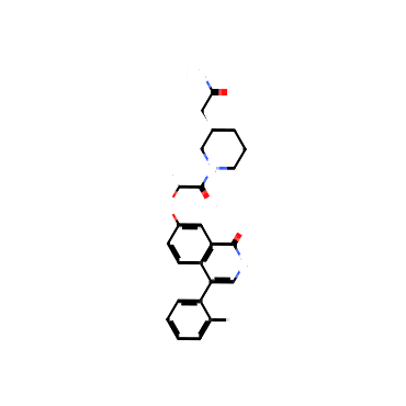 Cc1ccccc1-c1c[nH]c(=O)c2cc(O[C@H](C)C(=O)N3CCC[C@H](CC(N)=O)C3)ccc12